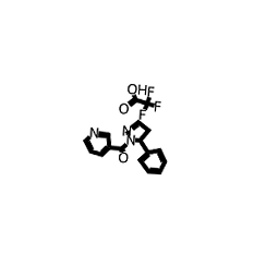 O=C(O)C(F)(F)F.O=C(c1cccnc1)N1N=CCC1c1ccccc1